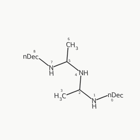 CCCCCCCCCCNC(C)NC(C)NCCCCCCCCCC